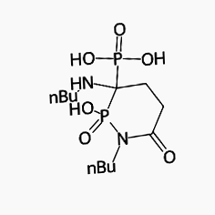 CCCCNC1(P(=O)(O)O)CCC(=O)N(CCCC)P1(=O)O